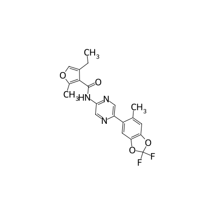 CCc1coc(C)c1C(=O)Nc1cnc(-c2cc3c(cc2C)OC(F)(F)O3)cn1